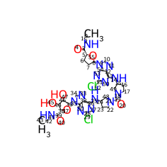 CCNC(=O)[C@@H]1CC[C@H](n2cnc3c(N[C@H]4CCN(C(=O)N5CC[C@@H](Nc6nc(Cl)nc7c6ncn7[C@@H]6O[C@H](C(=O)NCC)[C@@H](O)[C@H]6O)C5)C4)nc(Cl)nc32)O1